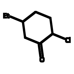 CCC1CCC(Cl)C(=O)C1